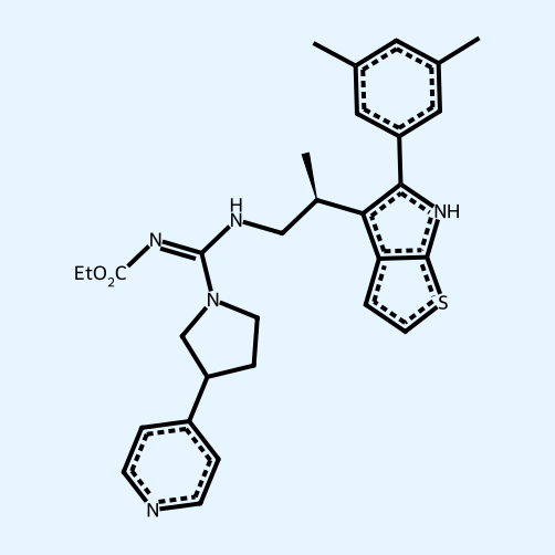 CCOC(=O)N=C(NC[C@@H](C)c1c(-c2cc(C)cc(C)c2)[nH]c2sccc12)N1CCC(c2ccncc2)C1